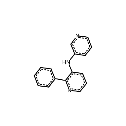 c1ccc(-c2ncccc2Nc2cccnc2)cc1